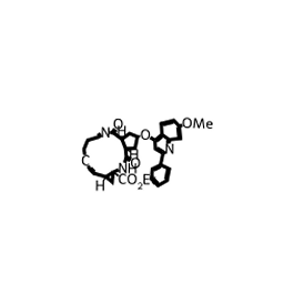 CCOC(=O)[C@@]12C[C@H]1/C=C\CCC/C=N/C(=O)[C@@H]1C[C@H](Oc3cc(-c4ccccc4)nc4cc(OC)ccc34)C[C@H]1C(=O)N2